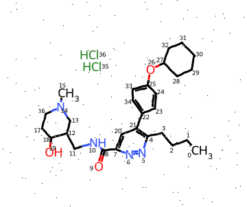 CCCCc1nnc(C(=O)NCC2CN(C)CCC2O)cc1-c1ccc(OC2CCCCC2)cc1.Cl.Cl